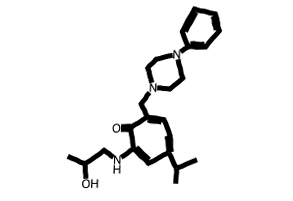 CC(O)CNc1cc(C(C)C)ccc(CN2CCN(c3ccccc3)CC2)c1=O